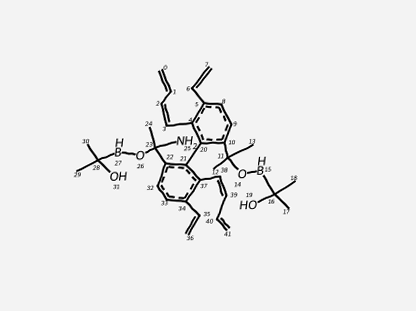 C=C/C=C\c1c(C=C)ccc(C(C)(C)OBC(C)(C)O)c1-c1c(C(C)(N)OBC(C)(C)O)ccc(C=C)c1/C=C\C=C